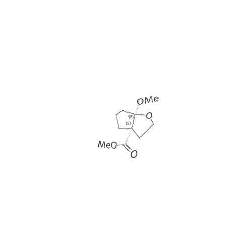 COC(=O)[C@]12CCC[C@@]1(OC)OCC2